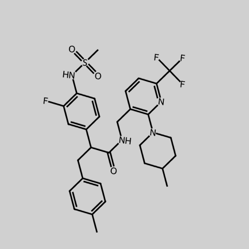 Cc1ccc(CC(C(=O)NCc2ccc(C(F)(F)F)nc2N2CCC(C)CC2)c2ccc(NS(C)(=O)=O)c(F)c2)cc1